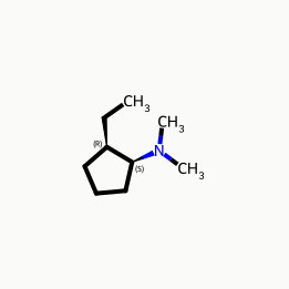 CC[C@@H]1CCC[C@@H]1N(C)C